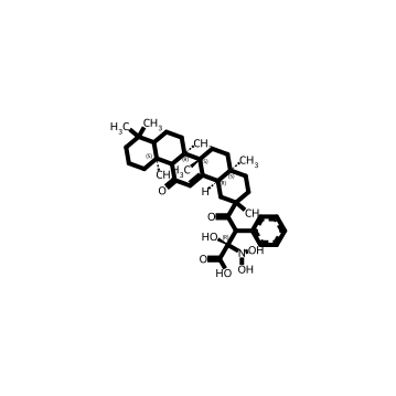 CC1(C(=O)C(c2ccccc2)[C@@](O)(C(=O)O)N(O)O)CC[C@]2(C)CC[C@]3(C)C(=CC(=O)C4[C@@]5(C)CCCC(C)(C)C5CC[C@]43C)[C@@H]2C1